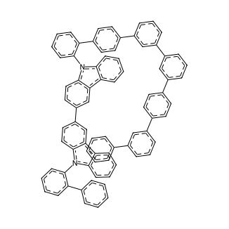 c1ccc(-c2cccc(-c3ccc(-c4cccc(-c5cccc(-c6ccc(-c7ccccc7-n7c8ccccc8c8cc(-c9ccc%10c(c9)c9ccccc9n%10-c9ccccc9-c9ccccc9)ccc87)cc6)c5)c4)cc3)c2)cc1